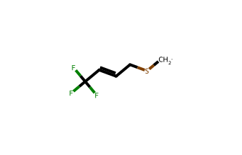 [CH2]SC/C=C/C(F)(F)F